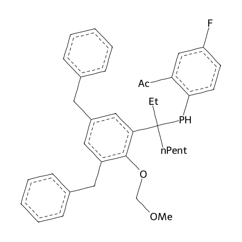 CCCCCC(CC)(Pc1ccc(F)cc1C(C)=O)c1cc(Cc2ccccc2)cc(Cc2ccccc2)c1OCOC